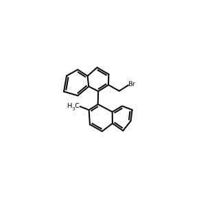 Cc1ccc2ccccc2c1-c1c(CBr)ccc2ccccc12